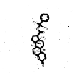 CC(NC(=O)C1CC[C@H]2[C@@H]3CCC4=CC(=O)CC[C@]4(C)[C@@H]3CC[C@]12C)(c1ccccc1)C(F)(F)F